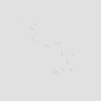 Cc1cc(Nc2cc(C)[nH]n2)nc(N2CCC3(CC2)CN([C@@H](C)c2ccc(-n4cc(F)cn4)nc2)C(=O)N3)n1